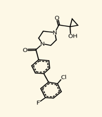 O=C(c1ccc(-c2cc(F)ccc2Cl)cc1)N1CCN(C(=O)C2(O)CC2)CC1